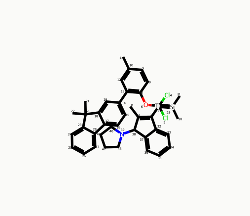 CC1=[C]([Ti]([Cl])([Cl])([O]c2ccc(C)cc2-c2ccc3c(c2)C(C)(C)c2ccccc2-3)=[Si](C)C)c2ccccc2C1N1CCCC1